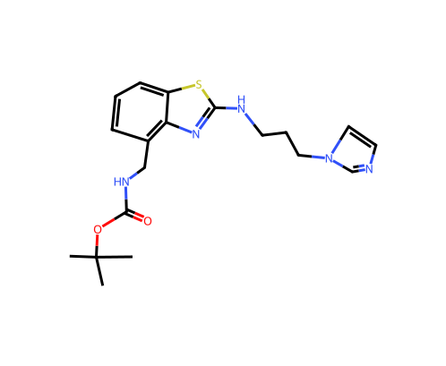 CC(C)(C)OC(=O)NCc1cccc2sc(NCCCn3ccnc3)nc12